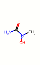 CN(O)C(N)=O